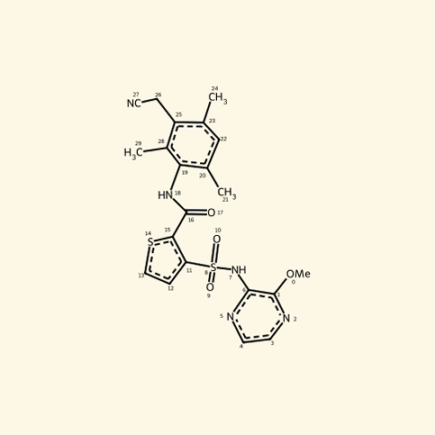 COc1nccnc1NS(=O)(=O)c1ccsc1C(=O)Nc1c(C)cc(C)c(CC#N)c1C